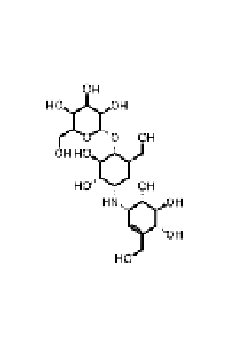 OCC1=C[C@H](N[C@H]2C[C@H](CO)[C@@H](O[C@@H]3OC(CO)[C@@H](O)C(O)[C@H]3O)[C@H](O)[C@H]2O)[C@H](O)[C@@H](O)[C@@H]1O